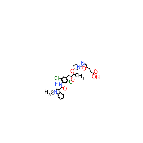 CC(O[C@H]1CCN(c2ncc(CCC(=O)O)o2)C1)C(=O)Cc1cc(Cl)c(NC(=O)c2cn(C)c3ccccc23)cc1Cl